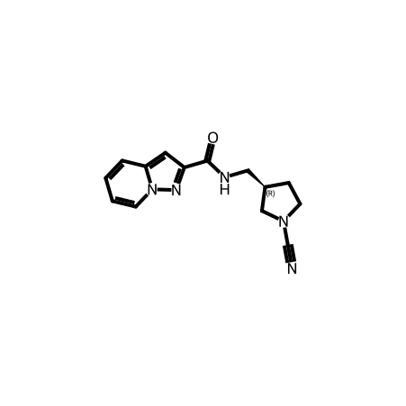 N#CN1CC[C@H](CNC(=O)c2cc3ccccn3n2)C1